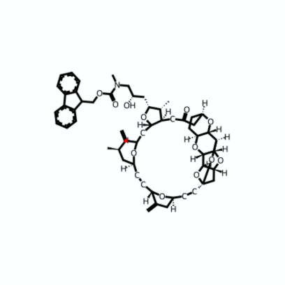 C=C1C[C@@H]2CC[C@@]34C[C@H]5O[C@H]6[C@@H](O3)[C@H]3O[C@H](CC[C@@H]3O[C@H]6[C@H]5O4)CC(=O)C[C@@H]3[C@@H](C)[C@@H](C[C@H](O)CN(C)C(=O)OCC4c5ccccc5-c5ccccc54)O[C@H]3C[C@H]3O[C@@H](CC[C@@H]1O2)C[C@@H](C)C3=C